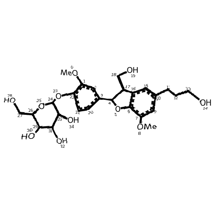 COc1cc(C2Oc3c(OC)cc(CCCO)cc3C2CO)ccc1OC1OC(CO)C(O)C(O)C1O